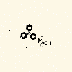 CC(C)NC(=O)O.c1ccc(P(c2ccccc2)c2ccccc2)cc1